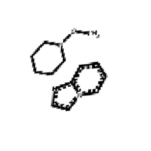 CON1CCCCC1.c1ccn2ccnc2c1